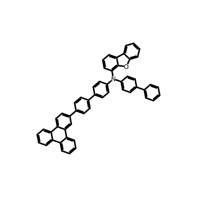 c1ccc(-c2ccc(N(c3ccc(-c4ccc(-c5ccc6c7ccccc7c7ccccc7c6c5)cc4)cc3)c3cccc4c3oc3ccccc34)cc2)cc1